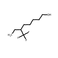 CCC(CCCCCO)C(F)(F)F